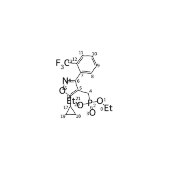 CCOP(=O)(Cc1c(-c2ccccc2C(F)(F)F)noc1C1CC1)OCC